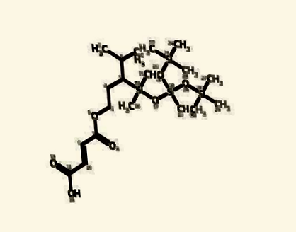 CC(C)C(CCOC(=O)C=CC(=O)O)[Si](C)(C)O[Si](C)(O[Si](C)(C)C)O[Si](C)(C)C